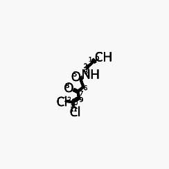 C#CCNC(=O)CC(=O)C=C(Cl)Cl